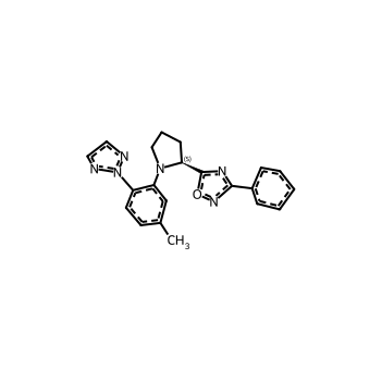 Cc1ccc(-n2nccn2)c(N2CCC[C@H]2c2nc(-c3ccccc3)no2)c1